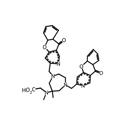 CN(CC(=O)O)C1(C)CN(Cc2cc3c(cn2)C(=O)C2C=CC=CC2O3)CCN(Cc2cc3c(cn2)C(=O)C2C=CC=CC2O3)C1